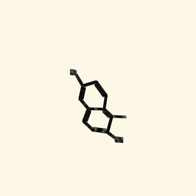 CCc1ccc2c(C)c(C#N)ccc2c1